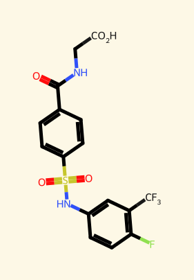 O=C(O)CNC(=O)c1ccc(S(=O)(=O)Nc2ccc(F)c(C(F)(F)F)c2)cc1